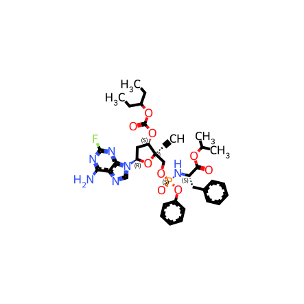 C#C[C@]1(CO[P@@](=O)(N[C@@H](Cc2ccccc2)C(=O)OC(C)C)Oc2ccccc2)O[C@@H](n2cnc3c(N)nc(F)nc32)C[C@@H]1OC(=O)OC(CC)CC